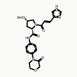 CO[C@@H]1C[C@H](C(=O)Nc2ccc(N3CCOCC3=O)cc2)N(C(=O)C=Cc2c[nH]cn2)C1